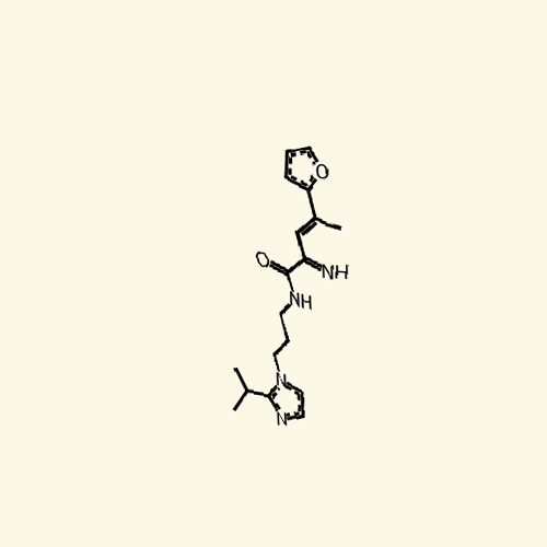 C/C(=C\C(=N)C(=O)NCCCn1ccnc1C(C)C)c1ccco1